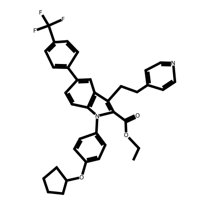 CCOC(=O)c1c(CCc2ccncc2)c2cc(-c3ccc(C(F)(F)F)cc3)ccc2n1-c1ccc(OC2CCCC2)cc1